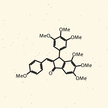 COc1ccc(/C=C2\C(=O)c3cc(OC)c(OC)c(OC)c3C2c2cc(OC)c(OC)c(OC)c2)cc1